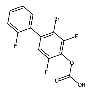 O=C(O)Oc1c(F)cc(-c2ccccc2F)c(Br)c1F